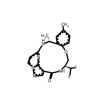 Cc1ccc2c(c1)[C@@H](C)Nc1ccn3ncc(c3n1)C(=O)N[C@H](C(F)F)CO2